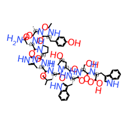 CC(=O)N[C@@H](Cc1ccc(O)cc1)C(=O)N(C)[C@@H](C)C(=O)N[C@@H](CC(N)=O)C(=O)N1CCC[C@H]1C(=O)N[C@@H](Cc1c[nH]cn1)C(=O)N[C@@H](CC(C)C)C(=O)N1C[C@H](O)C[C@H]1C(=O)N[C@@H](Cc1c[nH]c2ccccc12)C(=O)N[C@@H](CO)C(=O)N[C@@H](Cc1c[nH]c2ccccc12)C(=O)O